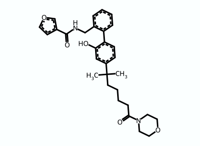 CC(C)(CCCCC(=O)N1CCOCC1)c1ccc(-c2ccccc2CNC(=O)c2ccoc2)c(O)c1